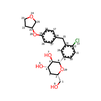 OC[C@@H]1C[C@H](O)[C@@H](O)[C@H](c2ccc(Cl)c(Cc3ccc(O[C@H]4CCOC4)cc3)c2)O1